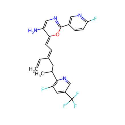 C=C/C(=C\C=C1/OC(c2ccc(F)nc2)=NC=C1N)CC(C)c1ncc(C(F)(F)F)cc1F